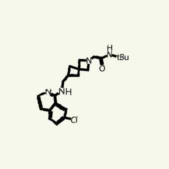 CC(C)(C)NC(=O)CN1CC2(CC(CNc3nccc4ccc(Cl)cc34)C2)C1